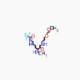 CNC(CCCCNC(=O)C(F)(F)F)C(=O)CNCCCOCCOC